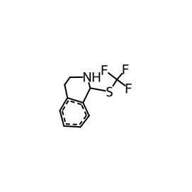 FC(F)(F)SC1NCCc2ccccc21